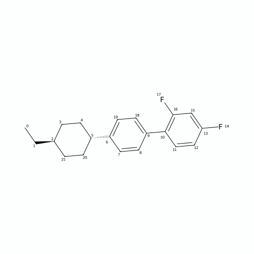 CC[C@H]1CC[C@H](c2ccc(-c3ccc(F)cc3F)cc2)CC1